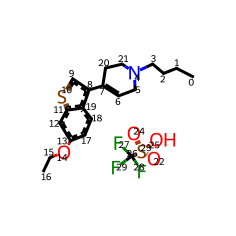 CCCCN1CC=C(c2csc3cc(OCC)ccc23)CC1.O=S(=O)(O)C(F)(F)F